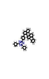 c1ccc(-c2nc(-c3ccccc3)nc(-c3ccc(-c4ccc5ccccc5c4-c4ccc5c6c(cccc46)-c4ccccc4-5)cc3)n2)cc1